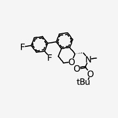 CN(C[C@@H]1OCCc2c(-c3ccc(F)cc3F)cccc21)C(=O)OC(C)(C)C